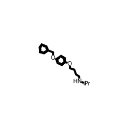 CC(C)NCCCCOc1ccc(OCc2ccccc2)cc1